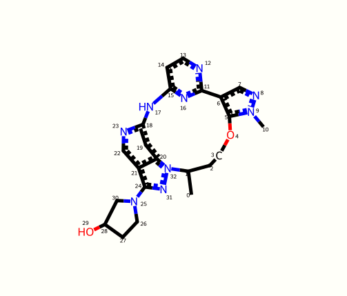 CC1CCOc2c(cnn2C)-c2nccc(n2)Nc2cc3c(cn2)c(N2CCC(O)C2)nn31